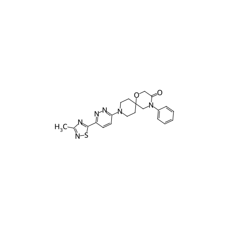 Cc1nsc(-c2ccc(N3CCC4(CC3)CN(c3ccccc3)C(=O)CO4)nn2)n1